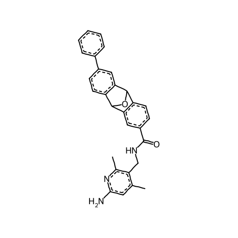 Cc1cc(N)nc(C)c1CNC(=O)c1ccc2c(c1)C1OC2c2cc(-c3ccccc3)ccc21